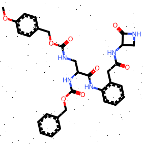 COc1ccc(COC(=O)NCC(NC(=O)OCc2ccccc2)C(=O)Nc2ccccc2CC(=O)NC2CNC2=O)cc1